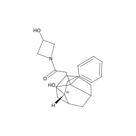 O=C(CC1(c2ccccc2)C2CC3CC1CC(C2)[C@H](O)C3)N1CC(O)C1